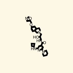 O=C(NCC(O)CN1CCc2cc(OCc3cnco3)ccc2C1)c1cc(NC2CCC2)nc(N2CCCCC2)c1